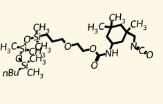 CCCC[Si](C)(C)O[Si](C)(C)O[Si](C)(C)CCCOCCOC(=O)NC1CC(C)(C)CC(C)(CN=C=O)C1